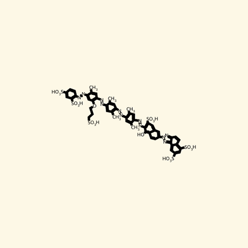 Cc1cc(N=Nc2cc(C)c(N=Nc3ccc(S(=O)(=O)O)cc3S(=O)(=O)O)cc2OCCCS(=O)(=O)O)c(C)cc1N=Nc1cc(C)c(N=Nc2c(S(=O)(=O)O)cc3cc(-n4nc5ccc6c(S(=O)(=O)O)cc(S(=O)(=O)O)cc6c5n4)ccc3c2O)cc1C